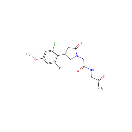 COc1cc(F)c(C2CC(=O)N(CC(=O)NCC(C)=O)C2)c(F)c1